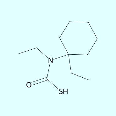 CCN(C(=O)S)C1(CC)CCCCC1